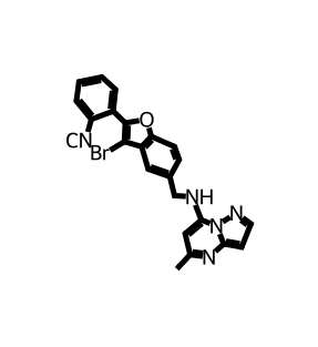 Cc1cc(NCc2ccc3oc(-c4ccccc4C#N)c(Br)c3c2)n2nccc2n1